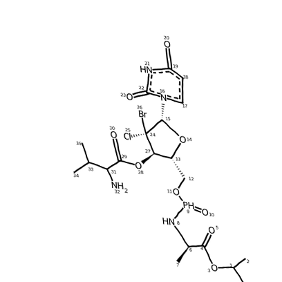 CC(C)OC(=O)[C@@H](C)N[PH](=O)OC[C@H]1O[C@@H](n2ccc(=O)[nH]c2=O)[C@](Cl)(Br)[C@@H]1OC(=O)C(N)C(C)C